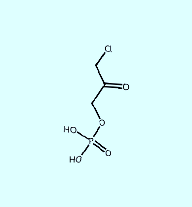 O=C(CCl)COP(=O)(O)O